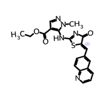 CCOC(=O)c1cnn(C)c1NC1=NC(=O)/C(=C/c2ccc3ncccc3c2)S1